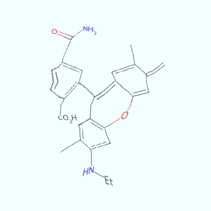 C=c1cc2c(cc1C)=C(c1cc(C(N)=O)ccc1C(=O)O)c1cc(C)c(NCC)cc1O2